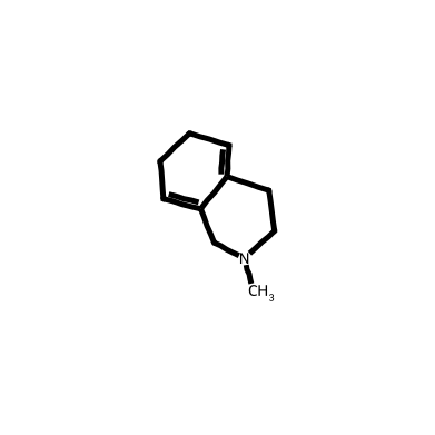 CN1CCC2=CCCC=C2C1